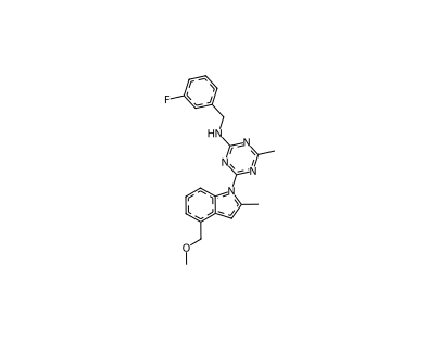 COCc1cccc2c1cc(C)n2-c1nc(C)nc(NCc2cccc(F)c2)n1